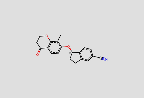 Cc1c(O[C@@H]2CCc3cc(C#N)ccc32)ccc2c1OCCC2=O